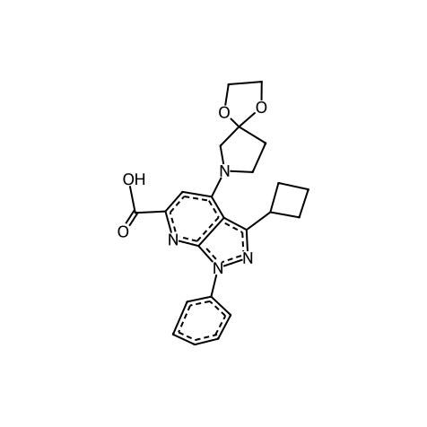 O=C(O)c1cc(N2CCC3(C2)OCCO3)c2c(C3CCC3)nn(-c3ccccc3)c2n1